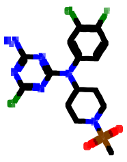 CS(=O)(=O)N1CCC(N(c2ccc(F)c(Cl)c2)c2nc(N)nc(Cl)n2)CC1